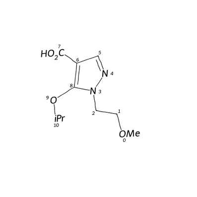 COCCn1ncc(C(=O)O)c1OC(C)C